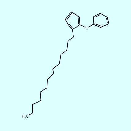 CCCCCCCCCCCCCCc1ccccc1Oc1ccccc1